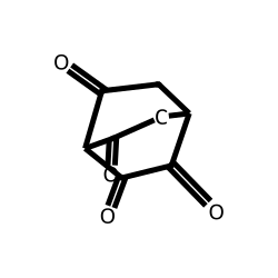 O=C1C(=O)C2C(=O)CC1CC2=O